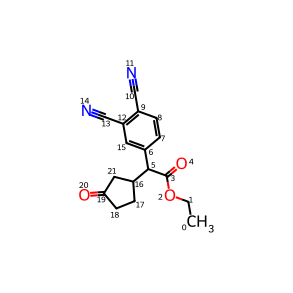 CCOC(=O)C(c1ccc(C#N)c(C#N)c1)C1CCC(=O)C1